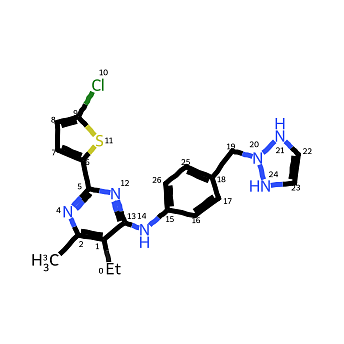 CCc1c(C)nc(-c2ccc(Cl)s2)nc1Nc1ccc(CN2NC=CN2)cc1